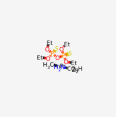 CCCC.CCOP(=S)(OCC)OP(=S)(OCC)OCC.NC(=O)O.[Zn]